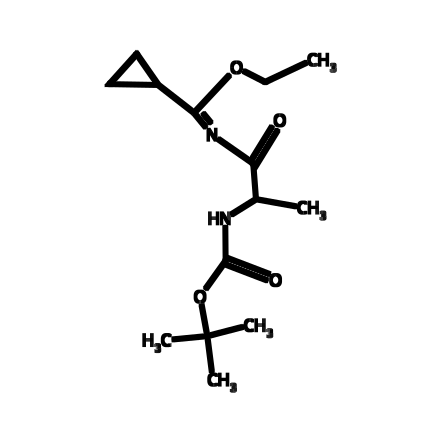 CCOC(=NC(=O)C(C)NC(=O)OC(C)(C)C)C1CC1